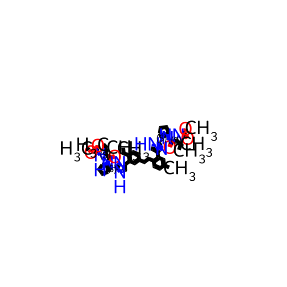 CCc1ccc(CCc2ccc(C)cc2-c2c[nH]c([C@@H]3C4CCC(C4)N3C(=O)[C@@H](NC(=O)OC)C(C)C)n2)cc1-c1c[nH]c([C@@H]2C3CCC(C3)N2C(=O)[C@@H](NC(=O)OC)C(C)C)n1